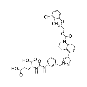 Cc1c(Cl)cccc1OCCOC(=O)N1CCCc2c(-c3cnn(Cc4cccc(NC(=O)N[C@@H](CCC(=O)O)C(=O)O)c4)c3)cccc21